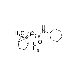 CC12CCC(C=C1OC(=O)NC1CCCCC1)C2(C)C